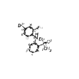 CC[P@@](C)(=O)c1ccncc1Nc1ccc(Br)cc1F